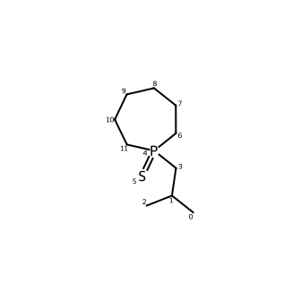 CC(C)CP1(=S)CCCCCC1